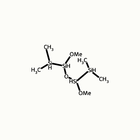 CO[SiH](O[SiH](OC)[SiH](C)C)[SiH](C)C